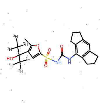 [2H]C([2H])([2H])C(O)(c1cc(S(=O)(=O)NC(=O)Nc2c3c(cc4c2CCC4)CCC3)oc1C)C([2H])([2H])[2H]